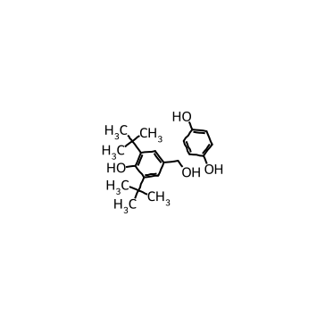 CC(C)(C)c1cc(CO)cc(C(C)(C)C)c1O.Oc1ccc(O)cc1